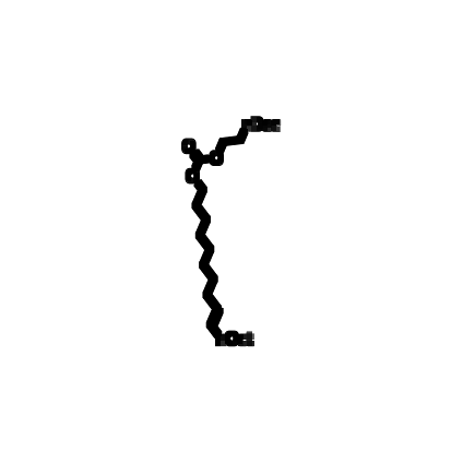 CCCCCCCCC=CCCCCCCCCOC(=O)OCCCCCCCCCCCC